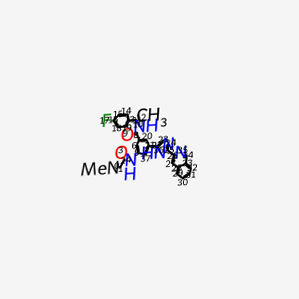 CNCC(=O)Nc1cc(C(=O)N[C@H](C)c2ccc(F)cc2)cc(-c2cnc(-c3cc4ccccc4cn3)[nH]2)c1